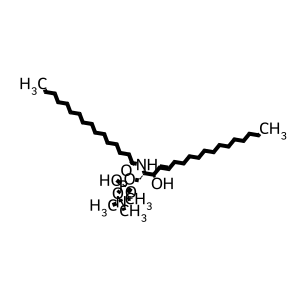 CCCCCCCCCCCCC/C=C/[C@@H](O)[C@H](COP(=O)(O)O[N+](C)(C)C)NC(=O)CCCCCCCCCCCCCCC